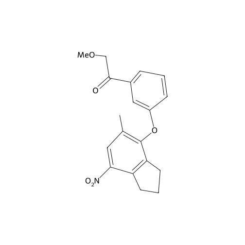 COCC(=O)c1cccc(Oc2c(C)cc([N+](=O)[O-])c3c2CCC3)c1